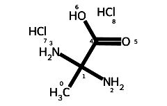 CC(N)(N)C(=O)O.Cl.Cl